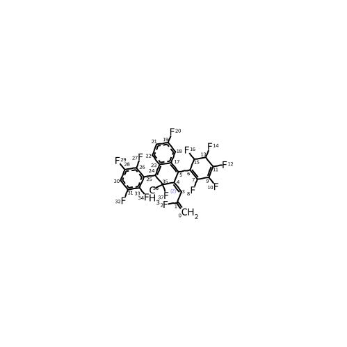 C=C(F)/C=C1/C(C2=C(F)C(F)=C(F)C(F)C2F)=c2cc(F)ccc2=C(c2c(F)c(F)cc(F)c2F)C1(C)F